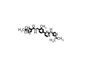 Cc1cc(-c2ccnc(Nc3cnn(C(C)C)c3)n2)ccc1CNC(=O)c1cnn(C(C)(C)C)c1